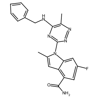 Cc1nnc(-n2c(C)cc3c(C(N)=O)cc(F)cc32)nc1NCc1ccccc1